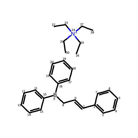 C(=Cc1ccccc1)CB(c1ccccc1)c1ccccc1.CC[N+](CC)(CC)CC